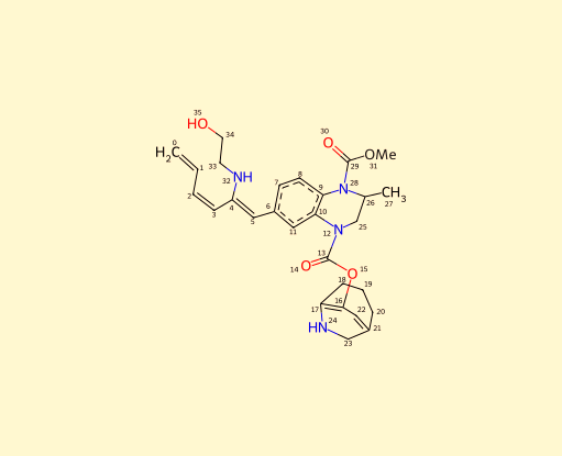 C=C/C=C\C(=C\c1ccc2c(c1)N(C(=O)OC1=C3CCCC(=C1)CN3)CC(C)N2C(=O)OC)NCCO